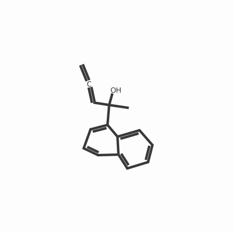 C=C=CC(C)(O)c1cccc2ccccc12